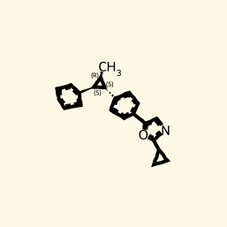 C[C@@H]1[C@H](c2ccccc2)[C@H]1c1ccc(-c2cnc(C3CC3)o2)cc1